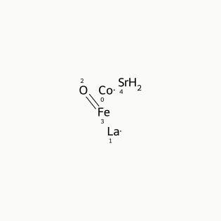 [Co].[La].[O]=[Fe].[SrH2]